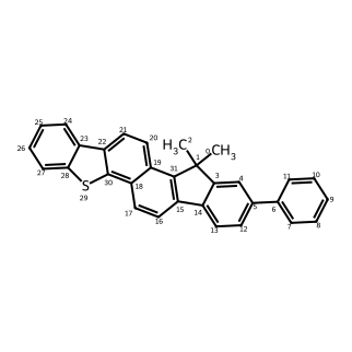 CC1(C)c2cc(-c3ccccc3)ccc2-c2ccc3c(ccc4c5ccccc5sc34)c21